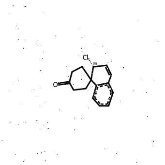 O=C1CCC2(CC1)c1ccccc1C=C[C@H]2Cl